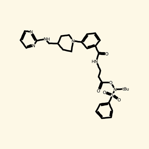 CC(C)(C)N(OC(=O)CCNC(=O)c1cccc(N2CCC(CNc3ncccn3)CC2)c1)S(=O)(=O)c1ccccc1